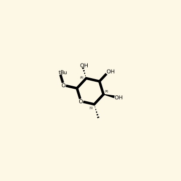 C[C@@H]1OC(OC(C)(C)C)[C@H](O)C(O)[C@H]1O